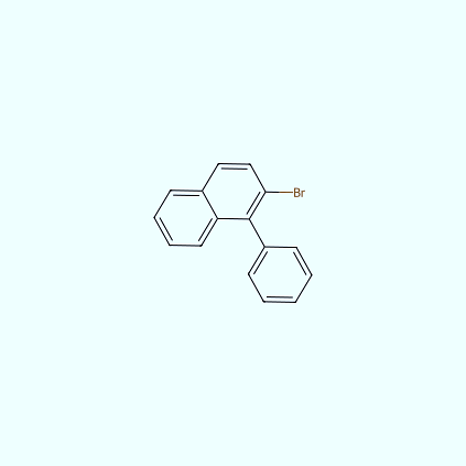 Brc1ccc2ccccc2c1-c1ccccc1